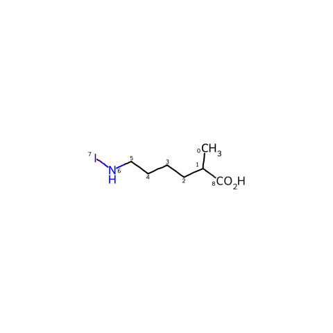 CC(CCCCNI)C(=O)O